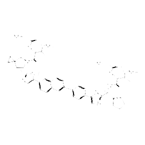 COC(=O)N[C@H](C(=O)N[C@H](c1ncc(-c2ccc(-c3ccc4cc(-c5cnc([C@@H]6CC7(CC7)CN6C(=O)[C@@H](NC(=O)OC)C(C)OC)[nH]5)ccc4c3)cc2)[nH]1)C1CCCC1)C(C)OC